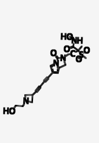 CC(CCN1Cc2cc(C#CC#CC3CN(CCO)C3)cn2C1=O)(C(=O)NO)S(C)(=O)=O